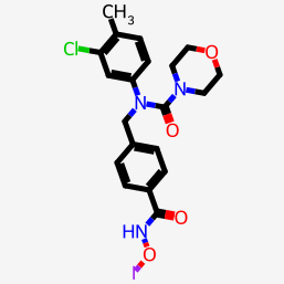 Cc1ccc(N(Cc2ccc(C(=O)NOI)cc2)C(=O)N2CCOCC2)cc1Cl